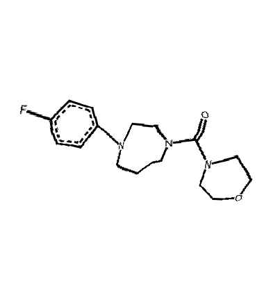 O=C(N1CCOCC1)N1CCCN(c2ccc(F)cc2)CC1